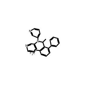 CC(c1c(OC(F)(F)F)cccc1-c1ccccc1)N(c1cccnc1)c1cccnc1